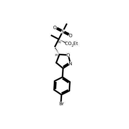 CCOC(=O)[C@@](C)(C[C@H]1CC(c2ccc(Br)cc2)=NO1)S(C)(=O)=O